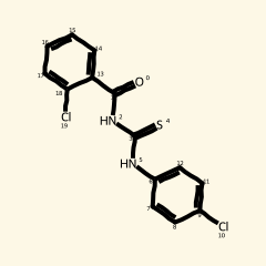 O=C(NC(=S)Nc1ccc(Cl)cc1)c1ccccc1Cl